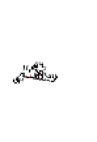 CCCCC/C=C\C/C=C\CCCCCCCCC(CCCCCCCC/C=C\C/C=C\CCCCO)CNC(=O)OCCCN(C)C